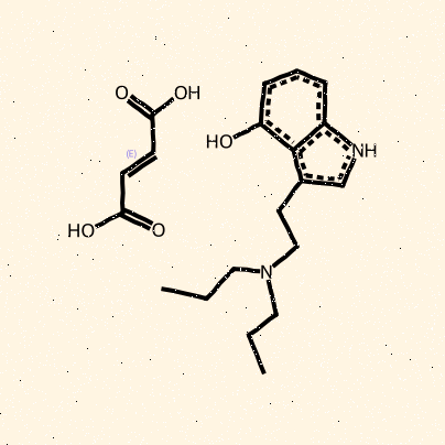 CCCN(CCC)CCc1c[nH]c2cccc(O)c12.O=C(O)/C=C/C(=O)O